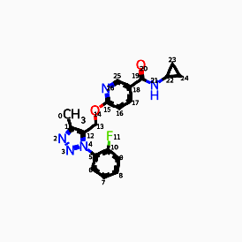 Cc1nnn(-c2ccccc2F)c1COc1ccc(C(=O)NC2CC2)cn1